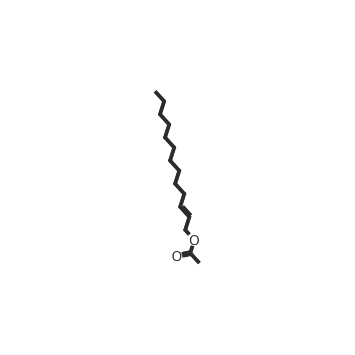 CCCCCCCCCCC=CCOC(C)=O